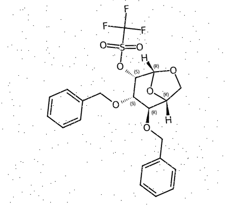 O=S(=O)(O[C@@H]1[C@@H]2OC[C@@H](O2)[C@@H](OCc2ccccc2)[C@@H]1OCc1ccccc1)C(F)(F)F